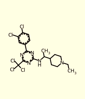 CCN1CCC(C(C)Nc2nc(-c3ccc(Cl)c(Cl)c3)nc(C(Cl)(Cl)Cl)n2)CC1